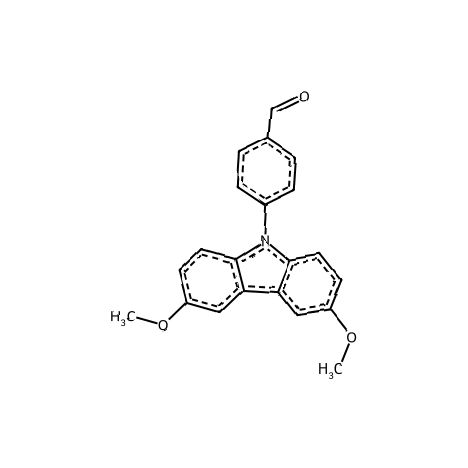 COc1ccc2c(c1)c1cc(OC)ccc1n2-c1ccc(C=O)cc1